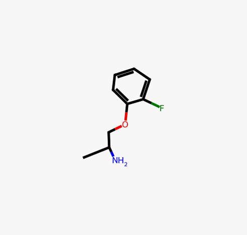 CC(N)COc1ccccc1F